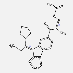 CC/C(=C1\c2ccccc2-c2ccc(C(=O)/C(C)=N\OC(C)=O)cc21)C1CCCC1